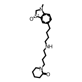 CN1C[S+]([O-])c2cc(CCCCNCCCCN3CCCCC3=O)ccc21